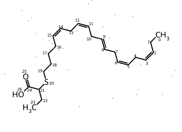 CC/C=C\C/C=C\C/C=C/C/C=C\C/C=C\CCCCSC(CC)C(=O)O